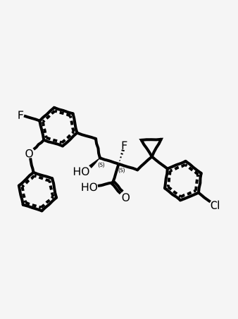 O=C(O)[C@](F)(CC1(c2ccc(Cl)cc2)CC1)[C@@H](O)Cc1ccc(F)c(Oc2ccccc2)c1